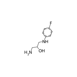 NCC(O)CNc1ccc(F)cc1